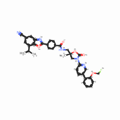 CC(C)c1cc(C#N)cc2nc(-c3ccc(C(=O)NCC4(C)CN(c5ccc(-c6ccccc6OCF)cn5)C(=O)O4)cc3)oc12